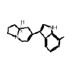 Cc1cccc2c(C3=CCN4CCC[C@H]4C3)c[nH]c12